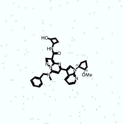 CO[C@H]1CCC[C@@H]1n1cc(-c2cc(N(C)Cc3ccccc3)n3ncc(C(=O)NC4CCC4O)c3n2)c2cccnc21